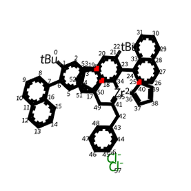 CC(C)(C)c1cc2c(cc1-c1cccc3ccccc13)Cc1c-2cc(C(C)(C)C)c(-c2cccc3ccccc23)[c]1[Zr+2]([C]1=CC=CC1)=[C](Cc1ccccc1)Cc1ccccc1.[Cl-].[Cl-]